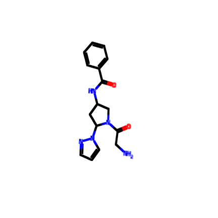 NCC(=O)N1CC(NC(=O)c2ccccc2)CC1n1cccn1